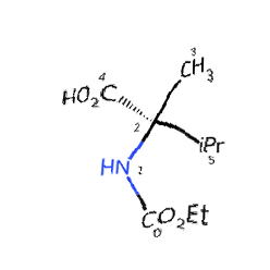 CCOC(=O)N[C@](C)(C(=O)O)C(C)C